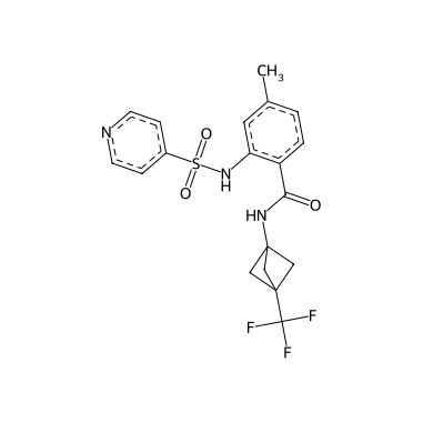 Cc1ccc(C(=O)NC23CC(C(F)(F)F)(C2)C3)c(NS(=O)(=O)c2ccncc2)c1